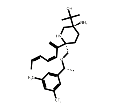 C=C(/C=C\C=C/C)[C@]1(CO[C@H](C)c2cc(C(F)(F)F)cc(C(F)(F)F)c2)CC[C@@](N)(C(C)(C)O)CN1